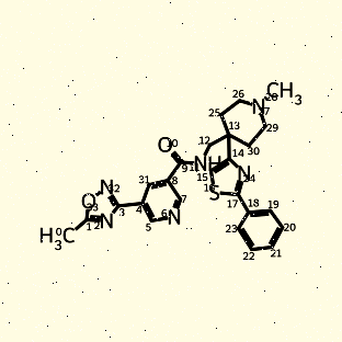 Cc1nc(-c2cncc(C(=O)NCC3(c4csc(-c5ccccc5)n4)CCN(C)CC3)c2)no1